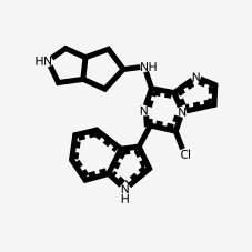 Clc1c(-c2c[nH]c3ccccc23)nc(NC2CC3CNCC3C2)c2nccn12